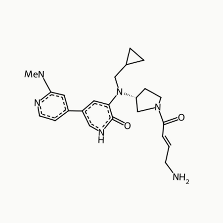 CNc1cc(-c2c[nH]c(=O)c(N(CC3CC3)[C@@H]3CCN(C(=O)C=CCN)C3)c2)ccn1